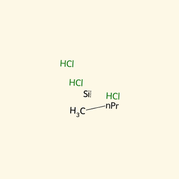 CCCC.Cl.Cl.Cl.[Si]